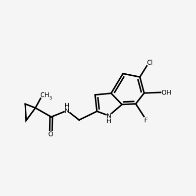 CC1(C(=O)NCc2cc3cc(Cl)c(O)c(F)c3[nH]2)CC1